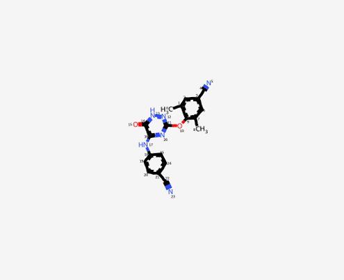 Cc1cc(C#N)cc(C)c1Oc1n[nH]c(=O)c(Nc2ccc(C#N)cc2)n1